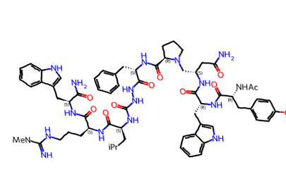 CNC(=N)NCCC[C@H](NC(=O)[C@H](CC(C)C)NC(=O)NNC(=O)[C@H](Cc1ccccc1)NC(=O)[C@H]1CCCN1C[C@H](CC(N)=O)NC(=O)[C@@H](Cc1c[nH]c2ccccc12)NC(=O)[C@@H](Cc1ccc(O)cc1)NC(C)=O)C(=O)N[C@@H](Cc1c[nH]c2ccccc12)C(N)=O